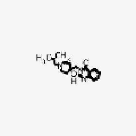 CC(C)CN1CCC(O)(Cn2cnc3ccccc3c2=O)CC1